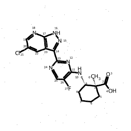 C[C@]1(C(=O)O)CCCC[C@@H]1Nc1nc(-c2n[nH]c3ncc(Cl)cc23)ncc1F